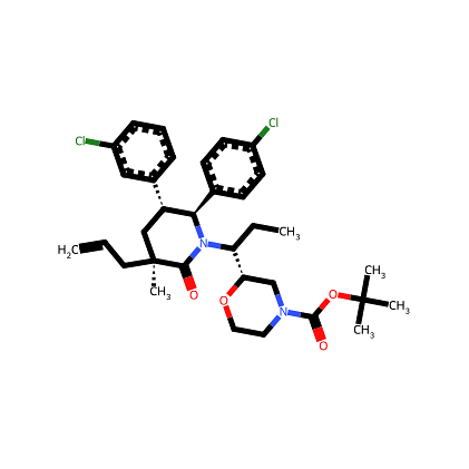 C=CC[C@@]1(C)C[C@H](c2cccc(Cl)c2)[C@@H](c2ccc(Cl)cc2)N(C(CC)[C@@H]2CN(C(=O)OC(C)(C)C)CCO2)C1=O